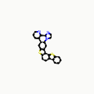 c1ccc2c(c1)sc1c2ccc2sc3cc4c5cccnc5c5nccn5c4cc3c21